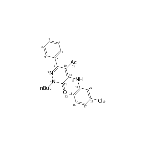 CCCCn1nc(-c2ccccc2)c(C(C)=O)c(Nc2cccc(Cl)c2)c1=O